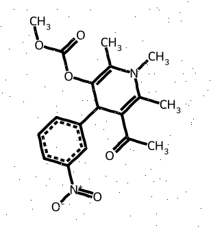 COC(=O)OC1=C(C)N(C)C(C)=C(C(C)=O)C1c1cccc([N+](=O)[O-])c1